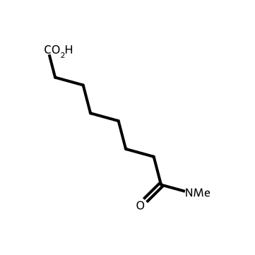 CNC(=O)CCCCCCC(=O)O